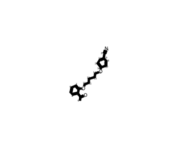 CC(=O)c1ccccc1OCCCCCOc1ccc(C#N)cc1